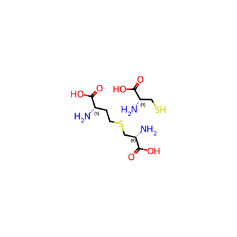 N[C@@H](CCSC[C@H](N)C(=O)O)C(=O)O.N[C@@H](CS)C(=O)O